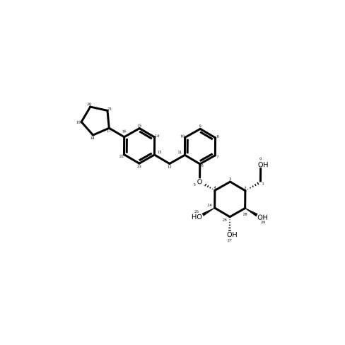 OC[C@H]1C[C@@H](Oc2ccccc2Cc2ccc(C3CCCC3)cc2)[C@H](O)[C@@H](O)[C@@H]1O